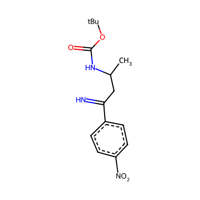 CC(CC(=N)c1ccc([N+](=O)[O-])cc1)NC(=O)OC(C)(C)C